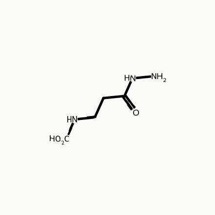 NNC(=O)CCNC(=O)O